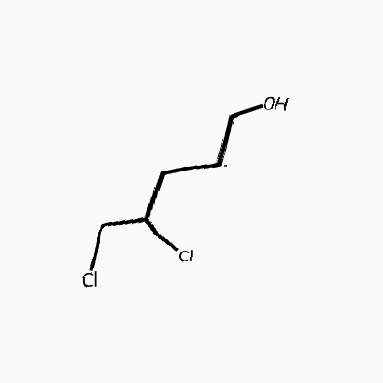 OC[CH]CC(Cl)CCl